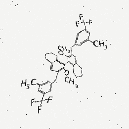 COc1c(Cc2cc(C)cc(C(F)(F)F)c2)cc2c(c1-c1c3c(cc(Cc4cc(C)cc(C(F)(F)F)c4)c1OC)CCCC3)CCCC2